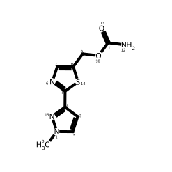 Cn1ccc(-c2ncc(COC(N)=O)s2)n1